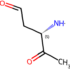 CC(=O)[C@@H]([NH])CC=O